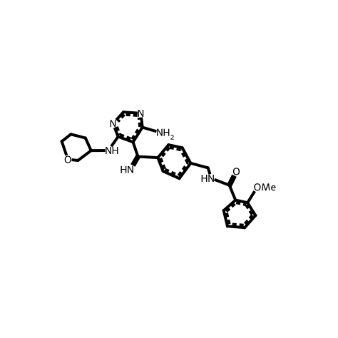 COc1ccccc1C(=O)NCc1ccc(C(=N)c2c(N)ncnc2NC2CCCOC2)cc1